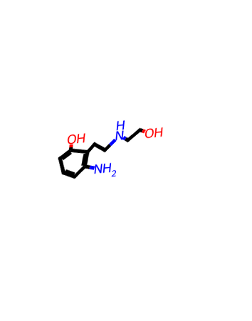 Nc1cccc(O)c1CCNCCO